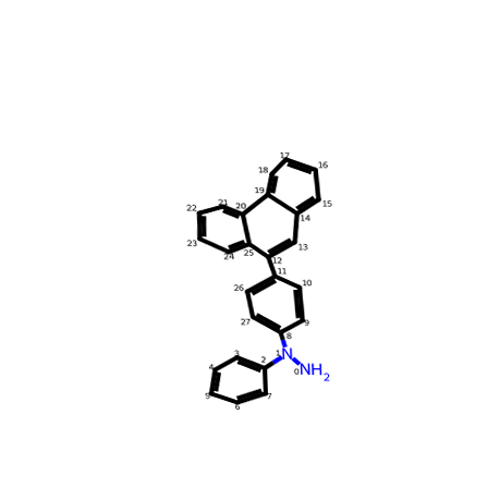 NN(c1ccccc1)c1ccc(-c2cc3ccccc3c3ccccc23)cc1